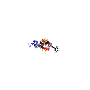 CC(C)(C)[Si](C)(C)OC1[C@H]2OP(=O)(S)OC[C@H]3O[C@@H](n4cnc5c(N)ncnc54)[C@H](F)[C@@H]3OP(=O)(S)OC[C@H]1O[C@H]2C#Cc1ccccc1